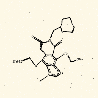 COCOc1c2c(c(OCOC)c3c1ncn3C)CC(=O)N(CC1CCCCC1)C2=O